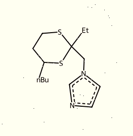 CCCCC1CCSC(CC)(Cn2ccnc2)S1